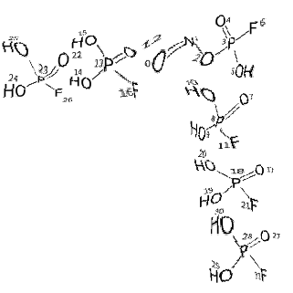 O=NOP(=O)(O)F.O=P(O)(O)F.O=P(O)(O)F.O=P(O)(O)F.O=P(O)(O)F.O=P(O)(O)F